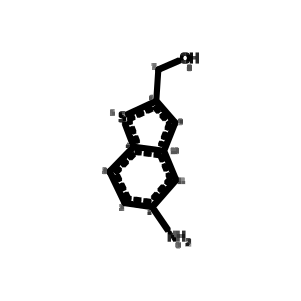 Nc1ccc2sc(CO)cc2c1